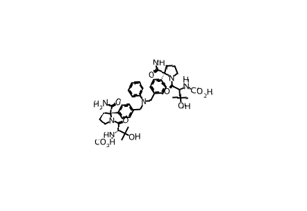 CC(C)(O)[C@H](NC(=O)O)C(=O)N1CCC[C@@]1(C(N)=O)c1ccc(CN(Cc2ccc([C@]3(C(N)=O)CCCN3C(=O)[C@@H](NC(=O)O)C(C)(C)O)cc2)c2ccccc2)cc1